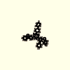 c1ccc(-c2ccc(-c3nc(-c4ccc5c(c4)oc4ccccc45)nc(-c4cc(-c5ccccc5)c5c(c4)oc4ccccc45)n3)cc2)cc1